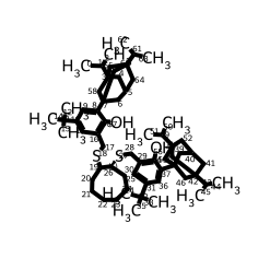 CC(C)C12CC3CC(c4cc(C(C)(C)C)cc(CSC5CCCCCC[C@@H]5SCc5cc(C(C)(C)C)cc(C67CC8CC(C(C)C)(C6)CC(C(C)C)(C8)C7)c5O)c4O)(C1)CC(C(C)C)(C3)C2